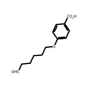 O=CCCCCCOc1ccc(C(=O)O)cc1